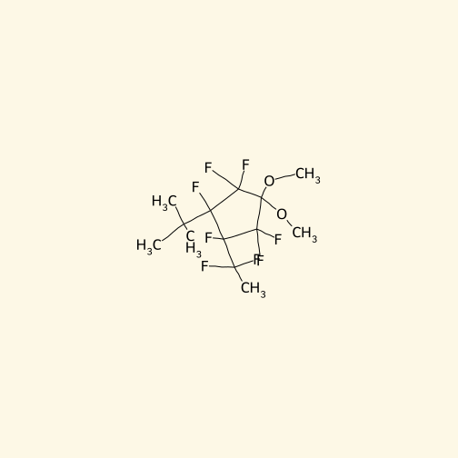 COC1(OC)C(F)(F)C(F)(C(C)(C)C)C(F)(C(C)(F)F)C1(F)F